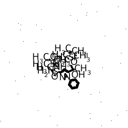 CC(O)(CO[Si](C)(C)C(C)(C)C)c1cc([SH](N)(=O)N[Si](C)(C)C(C)(C)C)nn1-c1ccccc1